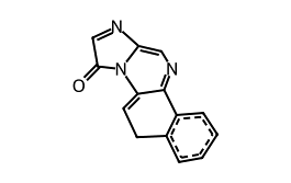 O=C1C=NC2=CN=C3C(=CCc4ccccc43)N12